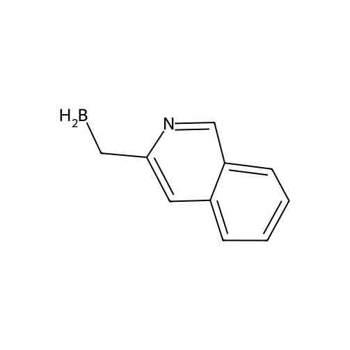 BCc1cc2ccccc2cn1